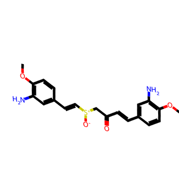 COc1ccc(C=CC(=O)C[S+]([O-])C=Cc2ccc(OC)c(N)c2)cc1N